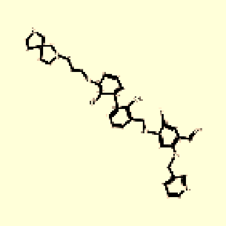 Cc1c(COc2cc(OCc3cccnc3)c(C=O)cc2Cl)cccc1-c1cccc(OCCCN2CCC3(CCOC3)C2)c1C